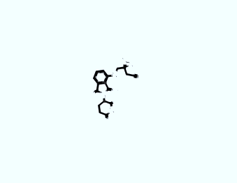 C#CCC1(CNc2cccc3c2C(=O)N(C2CCC(=O)NC2=O)C3=O)N=N1